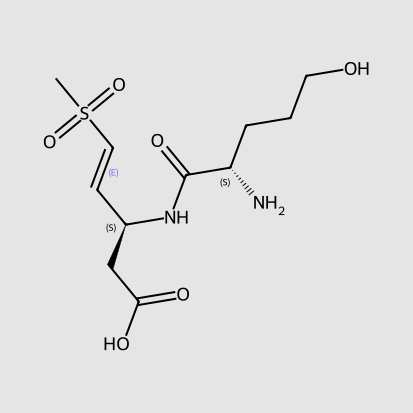 CS(=O)(=O)/C=C/[C@H](CC(=O)O)NC(=O)[C@@H](N)CCCO